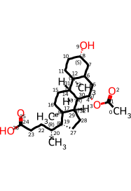 CC(=O)O[C@H]1CC2C[C@@H](O)CC[C@]2(C)[C@H]2CC[C@]3(C)[C@@H]([C@H](C)CCC(=O)O)CC[C@H]3[C@H]12